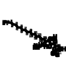 CC(C)CCCCCCCCCCCCCCCC(O)[C@@H](O)[C@@H](O)[C@H](O)[C@@H](CO)OP(=O)([O-])[O-].[Na+].[Na+]